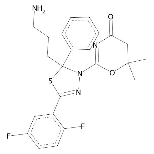 CC1(C)CC(=O)N=C(N2N=C(c3cc(F)ccc3F)SC2(CCCN)c2ccccc2)O1